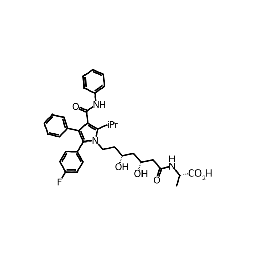 CC(C)c1c(C(=O)Nc2ccccc2)c(-c2ccccc2)c(-c2ccc(F)cc2)n1CC[C@@H](O)C[C@@H](O)CC(=O)N[C@@H](C)C(=O)O